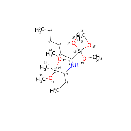 CCCCCC(NC(CC)[Si](C)(OC)OC)[Si](OC)(OC)OC